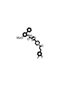 COc1ccc(-c2ccccc2)c(NC(=O)c2csc(C3CCN(C(=O)CCc4ccc(F)c(F)c4)CC3)n2)c1